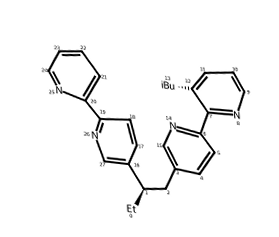 CC[C@H](Cc1ccc(-c2ncccc2[C@@H](C)CC)nc1)c1ccc(-c2ccccn2)nc1